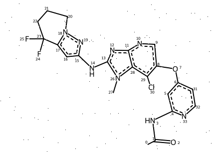 CC(=O)Nc1cc(Oc2cnc3nc(Nc4cc5n(n4)CCCC5(F)F)n(C)c3c2Cl)ccn1